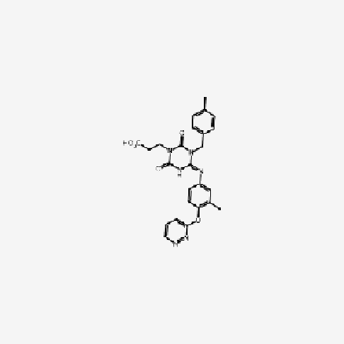 Cc1ccc(Cn2c(=O)n(CCC(=O)O)c(=O)[nH]/c2=N\c2ccc(Oc3cccnn3)c(C)c2)cc1